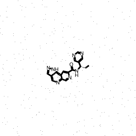 CC[C@H](NC(=O)c1cc2c(cn1)ncc1cn[nH]c12)c1cncnc1